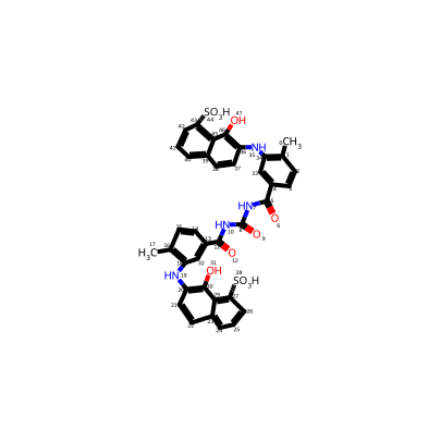 Cc1ccc(C(=O)NC(=O)NC(=O)c2ccc(C)c(Nc3ccc4cccc(S(=O)(=O)O)c4c3O)c2)cc1Nc1ccc2cccc(S(=O)(=O)O)c2c1O